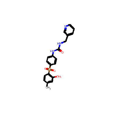 Cc1ccc(S(=O)(=O)c2ccc(NC(=O)NCc3cccnc3)cc2)c(O)c1